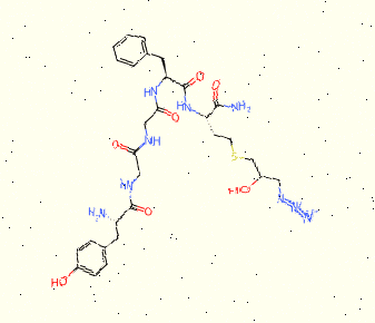 [N-]=[N+]=NCC(O)CSCC[C@H](NC(=O)[C@H](Cc1ccccc1)NC(=O)CNC(=O)CNC(=O)[C@@H](N)Cc1ccc(O)cc1)C(N)=O